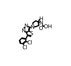 CC1(NC(=O)O)CCN(c2ncnc3c(-c4cccc(Cl)c4Cl)csc23)CC1